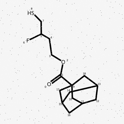 O=C(OCCC(F)CS)C12CC3CC(CC(C3)C1)C2